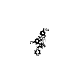 CC(C)(C)c1ccc(S(=O)(=O)Nc2ccc(Cl)cc2-n2nncc2CN2CCOCC2)cc1